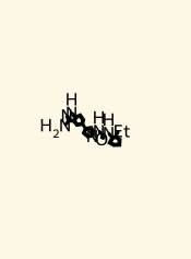 CCc1ccccc1NC(=O)Nc1cc(-c2ccc3[nH]nc(N)c3c2)ccn1